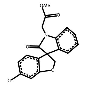 COC(=O)CN1C(=O)C2(COc3cc(Cl)ccc32)c2ccccc21